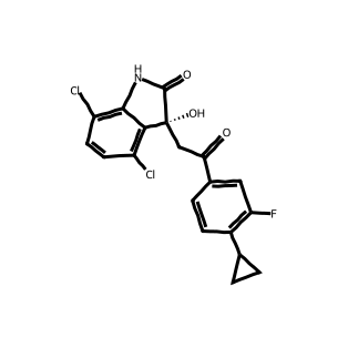 O=C(C[C@]1(O)C(=O)Nc2c(Cl)ccc(Cl)c21)c1ccc(C2CC2)c(F)c1